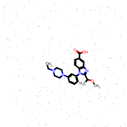 CCN1CCN(c2cccc(-n3c(C(C)OC)nc4cc(C(=O)O)ccc43)c2)CC1